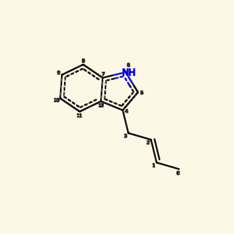 C/C=C/Cc1c[nH]c2ccccc12